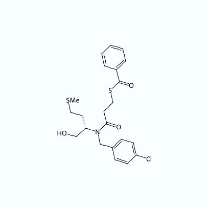 CSCC[C@@H](CO)N(Cc1ccc(Cl)cc1)C(=O)CCSC(=O)c1ccccc1